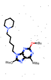 CCCCOc1nc(NC)c2nc(OC)n(CCCCCN3CCCCC3)c2n1